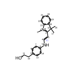 C[N+]1=C(/C=C/Nc2ccc(CCO)cc2)C(C)(C)c2ccccc21